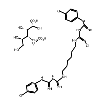 CC(=O)O.N=C(NCCCCCCNC(=NCl)NC(=N)Nc1ccc(Cl)cc1)NC(=N)Nc1ccc(Cl)cc1.O=C(O)[C@H](O)[C@@H](O)[C@H](O)[C@H](O)CO